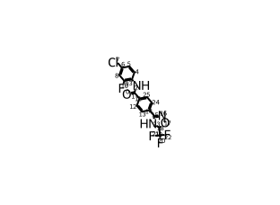 O=C(Nc1ccc(Cl)cc1F)c1ccc(C2=NOC(C(F)(F)F)N2)cc1